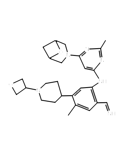 Cc1nc(Nc2cc(C3CCN(C4COC4)CC3)c(C)cc2C=N)cc(N2CC3CC(C2)O3)n1